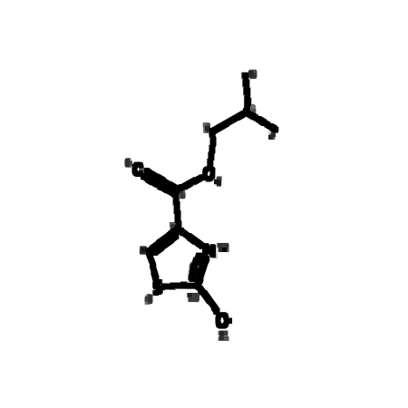 CC(C)COC(=O)c1csc([O])n1